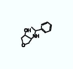 CC(NC1COCC1O)c1ccccc1